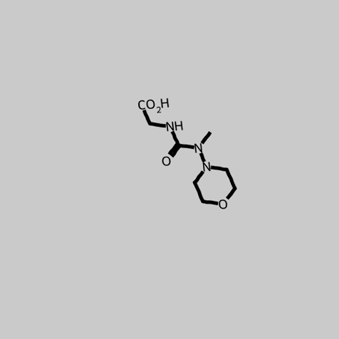 CN(C(=O)NCC(=O)O)N1CCOCC1